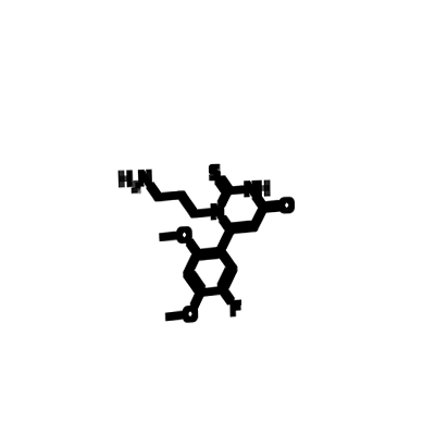 COc1cc(OC)c(-c2cc(=O)[nH]c(=S)n2CCCN)cc1F